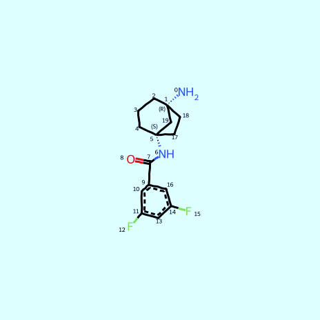 N[C@]12CCC[C@](NC(=O)c3cc(F)cc(F)c3)(CC1)C2